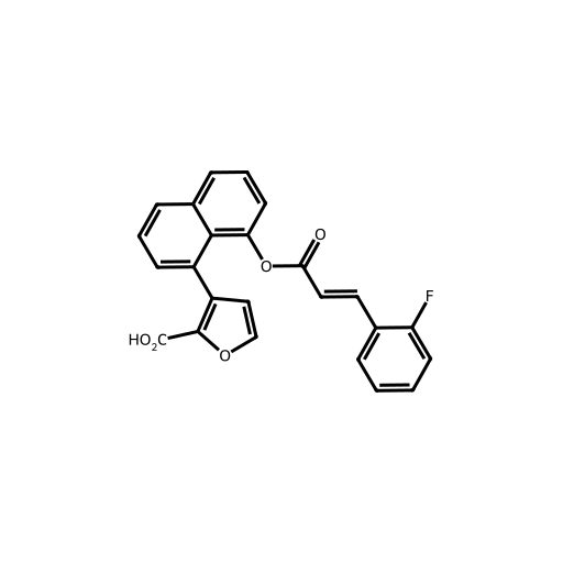 O=C(C=Cc1ccccc1F)Oc1cccc2cccc(-c3ccoc3C(=O)O)c12